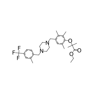 CCOC(=O)C(C)(C)Oc1c(C)cc(CN2CCN(Cc3ccc(C(F)(F)F)cc3C)CC2)c(C)c1C